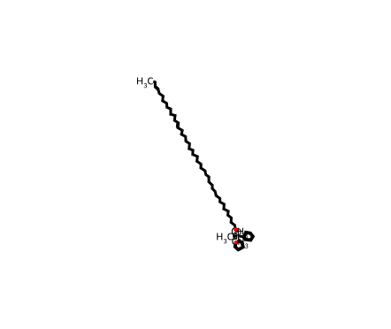 CC/C=C/CCCCCCCCC/C=C/CCCCCCCCCCCCCCCCCCCCCCCCCCCCCCO[Si](c1ccccc1)(c1ccccc1)C(C)(C)C